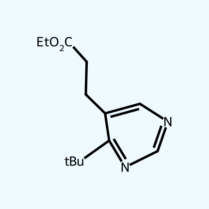 CCOC(=O)CCc1cncnc1C(C)(C)C